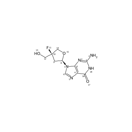 Nc1nc2c(ncn2[C@H]2C[C@](F)(CO)CO2)c(=O)[nH]1